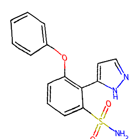 NS(=O)(=O)c1cccc(Oc2ccccc2)c1-c1ccn[nH]1